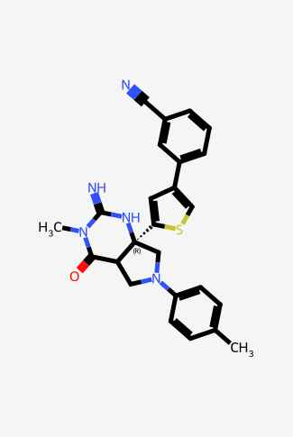 Cc1ccc(N2CC3C(=O)N(C)C(=N)N[C@@]3(c3cc(-c4cccc(C#N)c4)cs3)C2)cc1